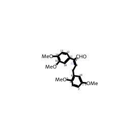 COc1ccc(OC)c(C/C=C(/C=O)c2ccc(OC)c(OC)c2)c1